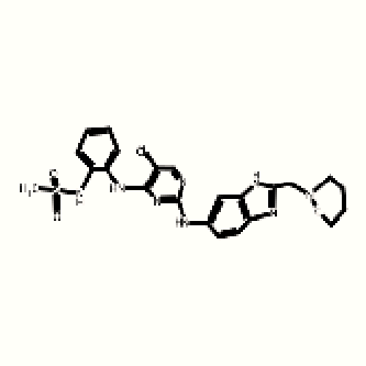 CS(=O)(=O)Nc1ccccc1Nc1nc(Nc2ccc3nc(CN4CCCCC4)[nH]c3c2)ncc1Cl